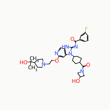 CC(C)(O)C1CCN(CCOc2cc3c(cn2)[nH]/c(=N\C(=O)c2cccc(F)c2)n3C2CCC(C(=O)N3CC(O)C3)CC2)CC1